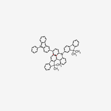 CC1(C)c2ccccc2-c2ccc(N(c3ccc(-c4ccc5c(c4)c4ccccc4n5-c4ccccc4)cc3)c3ccccc3-c3cccc4c3C(C)(C)c3ccccc3-4)cc21